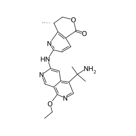 CCOc1ncc(C(C)(C)N)c2cc(Nc3ccc4c(n3)[C@H](C)COC4=O)ncc12